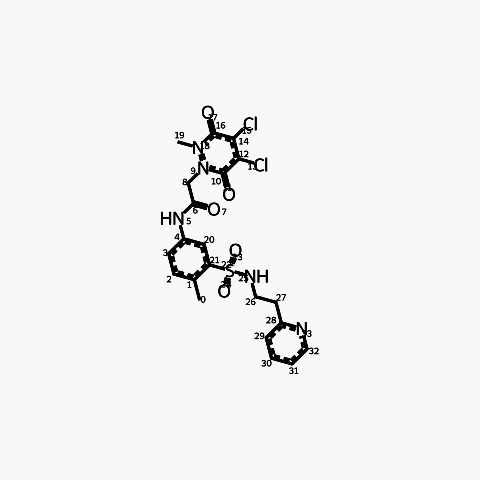 Cc1ccc(NC(=O)Cn2c(=O)c(Cl)c(Cl)c(=O)n2C)cc1S(=O)(=O)NCCc1ccccn1